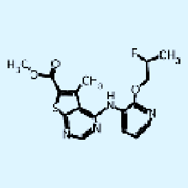 COC(=O)c1sc2ncnc(Nc3cccnc3OCC(C)F)c2c1C